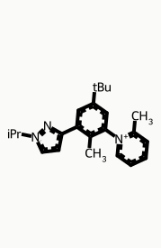 Cc1c(-c2ccn(C(C)C)n2)cc(C(C)(C)C)cc1-[n+]1ccccc1C